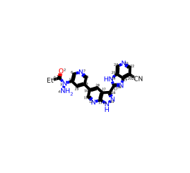 CCC(=O)N(N)c1cncc(-c2cnc3[nH]nc(-c4nc5c(C#N)cncc5[nH]4)c3c2)c1